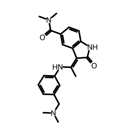 CC(Nc1cccc(CN(C)C)c1)=C1C(=O)Nc2ccc(C(=O)N(C)C)cc21